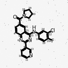 O=C(c1ccc2nc(-c3cccnc3)nc(Nc3ccc(F)c(Cl)c3)c2c1)N1CCCC1